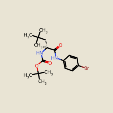 CC(C)(C)C[C@@H](NC(=O)OC(C)(C)C)C(=O)Nc1ccc(Br)cc1